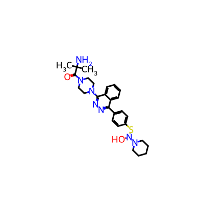 CC(C)(N)C(=O)N1CCN(c2nnc(-c3ccc(SN(O)N4CCCCC4)cc3)c3ccccc23)CC1